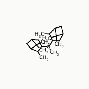 CB(C1CC2CC(C1C)C2(C)C)C1CC2CC(C1C)C2(C)C